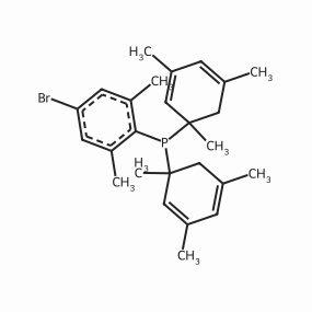 CC1=CC(C)(P(c2c(C)cc(Br)cc2C)C2(C)C=C(C)C=C(C)C2)CC(C)=C1